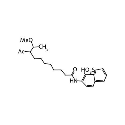 COC(C)C(CCCCCCCC(=O)Nc1ccc2ccccc2c1S(=O)(=O)O)C(C)=O